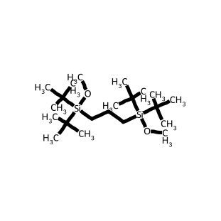 CO[Si](CCC[Si](OC)(C(C)(C)C)C(C)(C)C)(C(C)(C)C)C(C)(C)C